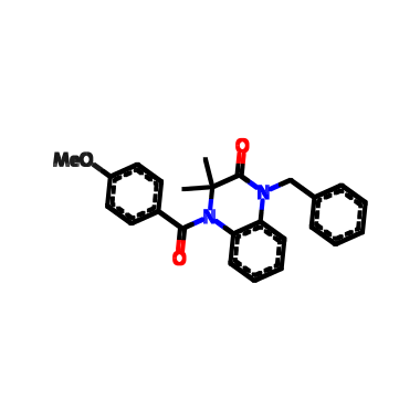 COc1ccc(C(=O)N2c3ccccc3N(Cc3ccccc3)C(=O)C2(C)C)cc1